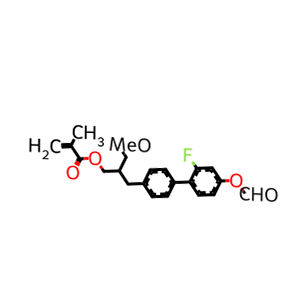 C=C(C)C(=O)OCC(COC)Cc1ccc(-c2ccc(OC=O)cc2F)cc1